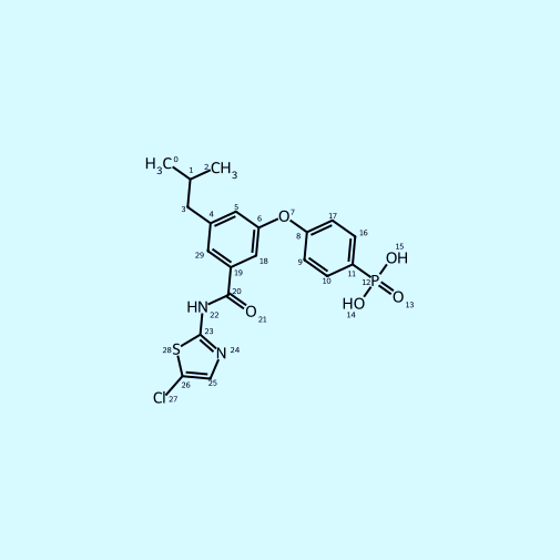 CC(C)Cc1cc(Oc2ccc(P(=O)(O)O)cc2)cc(C(=O)Nc2ncc(Cl)s2)c1